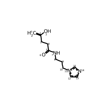 C=C(O)CCC(=O)NCCCn1ccnc1